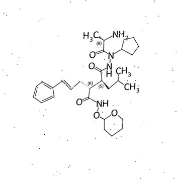 CC(C)C[C@H](C(=O)NN(C(=O)[C@@H](C)N)C1CCCC1)[C@@H](CC=Cc1ccccc1)C(=O)NOC1CCCCO1